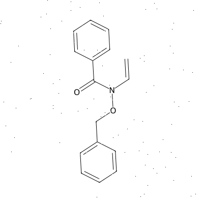 C=CN(OCc1ccccc1)C(=O)c1ccccc1